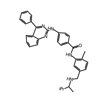 Cc1ccc(CNC(C)C(C)C)cc1NC(=O)c1ccc(Nc2nc(-c3ccccc3)c3ccccc3n2)cc1